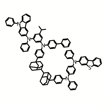 CC(C)c1cc(N(c2ccc(-c3ccccc3)cc2)c2ccc(C34CC5CC(C3)C(C3C6CC7CC3CC(c3ccc(N(c8ccccc8)c8ccc(N(c9ccccc9)c9ccc%10c(c9)sc9ccccc9%10)cc8)cc3)(C7)C6)C(C5)C4)cc2)cc(N(c2ccccc2)c2ccc3c(c2)c2ccccc2n3-c2ccccc2)c1